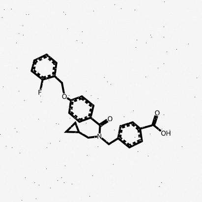 O=C(O)c1ccc(CN(CC2CC2)C(=O)c2ccc(OCc3ccccc3F)cc2)cc1